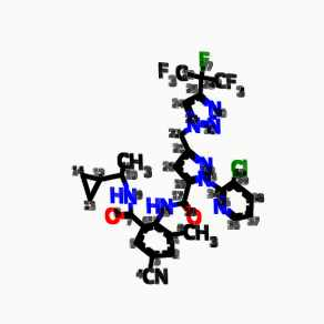 Cc1cc(C#N)cc(C(=O)NC(C)C2CC2)c1NC(=O)c1cc(Cn2cc(C(F)(C(F)(F)F)C(F)(F)F)nn2)nn1-c1ncccc1Cl